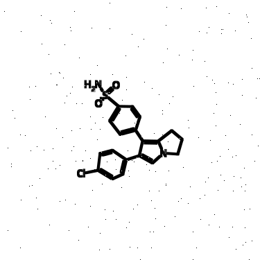 NS(=O)(=O)c1ccc(-c2c(-c3ccc(Cl)cc3)cn3c2CCC3)cc1